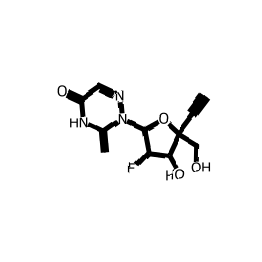 C#CC1(CO)OC(N2N=CC(=O)NC2=C)C(F)C1O